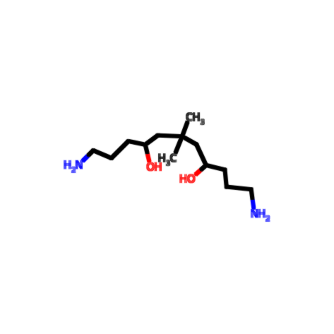 CC(C)(CC(O)CCCN)CC(O)CCCN